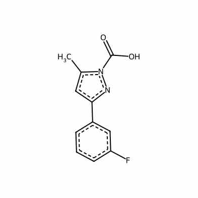 Cc1cc(-c2cccc(F)c2)nn1C(=O)O